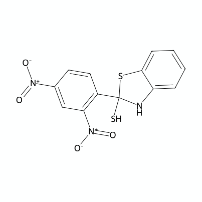 O=[N+]([O-])c1ccc(C2(S)Nc3ccccc3S2)c([N+](=O)[O-])c1